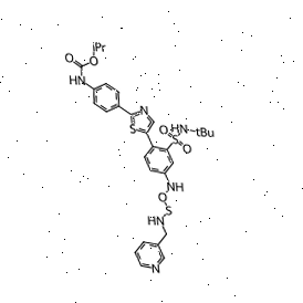 CC(C)OC(=O)Nc1ccc(-c2ncc(-c3ccc(NOSNCc4cccnc4)cc3S(=O)(=O)NC(C)(C)C)s2)cc1